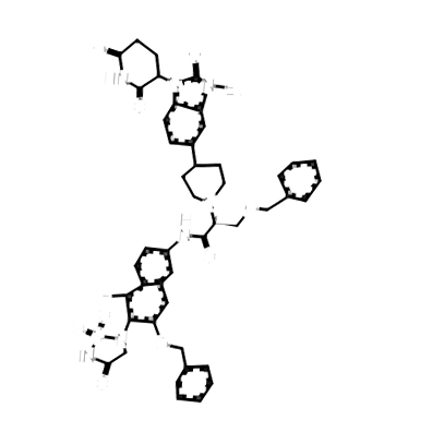 CCn1c(=O)n(C2CCC(=O)NC2=O)c2ccc(C3CCN([C@@H](COCc4ccccc4)C(=O)Nc4ccc5c(F)c(N6CC(=O)NS6(=O)=O)c(OCc6ccccc6)cc5c4)CC3)cc21